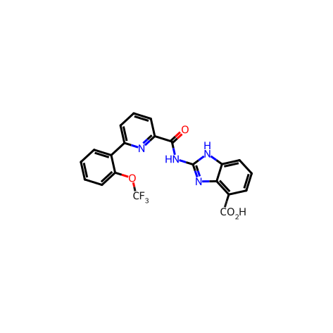 O=C(Nc1nc2c(C(=O)O)cccc2[nH]1)c1cccc(-c2ccccc2OC(F)(F)F)n1